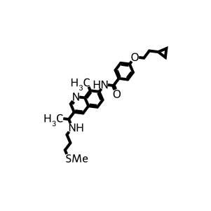 CSCCCNC(C)c1cnc2c(C)c(NC(=O)c3ccc(OCCC4CC4)cc3)ccc2c1